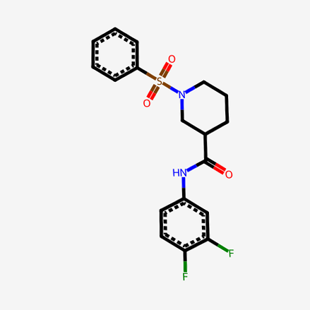 O=C(Nc1ccc(F)c(F)c1)C1CCCN(S(=O)(=O)c2ccccc2)C1